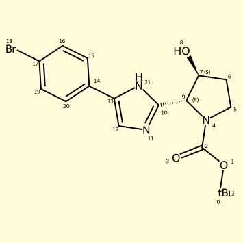 CC(C)(C)OC(=O)N1CC[C@H](O)[C@H]1c1ncc(-c2ccc(Br)cc2)[nH]1